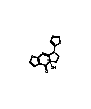 O=C1c2ccsc2N=C2N(c3cccs3)CC[C@@]12O